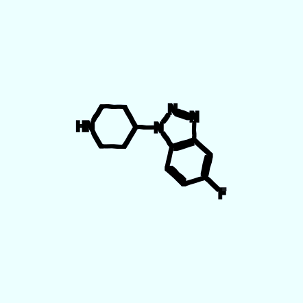 Fc1ccc2c(c1)nnn2C1CCNCC1